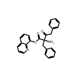 NC(Cc1ccccc1)(C(=O)Cc1ccccc1)C(=O)Oc1cccc2cccnc12